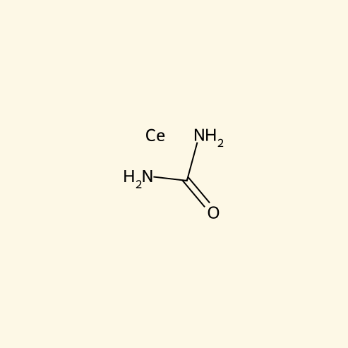 NC(N)=O.[Ce]